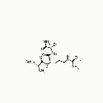 C=C(N)NCCC[C@H](NC(=O)[C@H](C)NC(C)=O)C(=O)N[C@@H](CC)C(N)=O